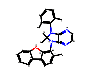 Cc1cccc(C)c1N1c2nccnc2N(c2c(C)ccc3c2oc2ccccc23)C1(C)C